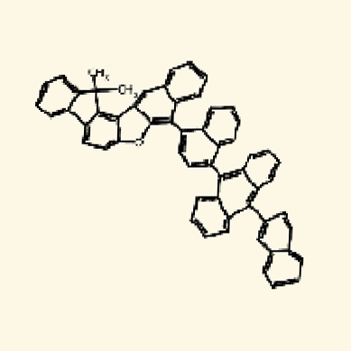 CC1(C)c2ccccc2-c2ccc3oc4c(-c5ccc(-c6c7ccccc7c(-c7ccc8ccccc8c7)c7ccccc67)c6ccccc56)c5ccccc5cc4c3c21